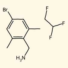 Cc1cc(Br)cc(C)c1CN.FCC(F)F